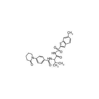 Cc1ccc2cc(S(=O)(=O)NC(=O)C(NC(=O)c3ccc(N4CCCCC4=O)cc3)C(C)C)sc2c1